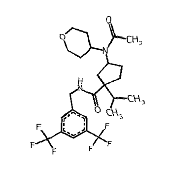 CC(=O)N(C1CCOCC1)C1CCC(C(=O)NCc2cc(C(F)(F)F)cc(C(F)(F)F)c2)(C(C)C)C1